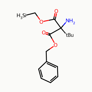 CC(C)(C)C(N)(C(=O)OC[SiH3])C(=O)OCc1ccccc1